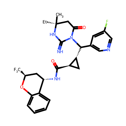 CC[C@]1(C)CC(=O)N(C(c2cncc(F)c2)[C@@H]2C[C@H]2C(=O)N[C@H]2C[C@H](C(F)(F)F)Oc3ccccc32)C(=N)N1